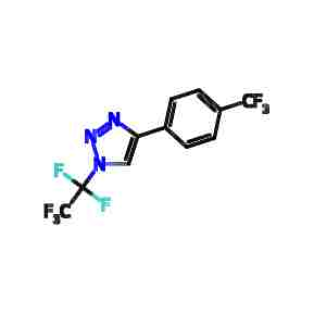 FC(F)(F)c1ccc(-c2cn(C(F)(F)C(F)(F)F)nn2)cc1